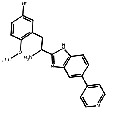 COc1ccc(Br)cc1CC(N)c1nc2cc(-c3ccncc3)ccc2[nH]1